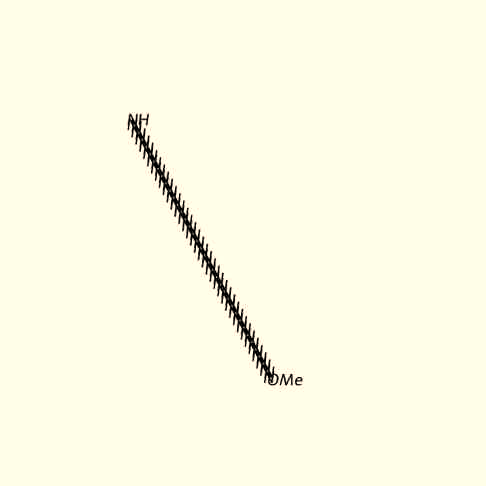 CON=NN=NN=NN=NN=NN=NN=NN=NN=NN=NN=NN=NN=NN=NN=NN=NN=NN=NN=NN=NN=NN=NN=NN=NN=NN=NN=NN=NN=NN=NN=NN=NN=NN=NN=NN=N